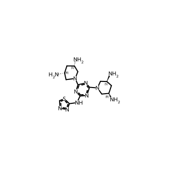 N[C@@H]1C[C@H](N)CN(c2nc(Nc3nncs3)nc(N3C[C@H](N)C[C@H](N)C3)n2)C1